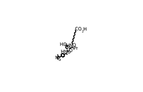 Cc1ncsc1-c1ccc(C(C)NC(=O)[C@@H]2C[C@@H](O)CN2C(=O)C(NC(=O)CCCCCCCCCC(=O)O)C(C)C)cc1